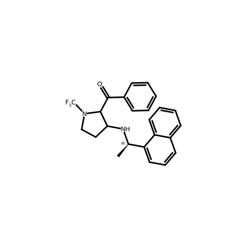 C[C@@H](NC1CCN(C(F)(F)F)C1C(=O)c1ccccc1)c1cccc2ccccc12